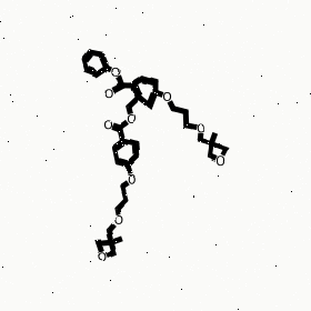 CC1(COCCCOc2ccc(C(=O)OCc3cc(OCCCOCC4(C)COC4)ccc3C(=O)Oc3ccccc3)cc2)COC1